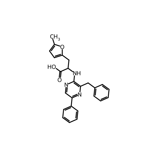 Cc1ccc(CC(Nc2ncc(-c3ccccc3)nc2Cc2ccccc2)C(=O)O)o1